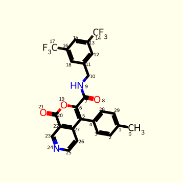 Cc1ccc(-c2c(C(=O)NCc3cc(C(F)(F)F)cc(C(F)(F)F)c3)oc(=O)c3cnccc23)cc1